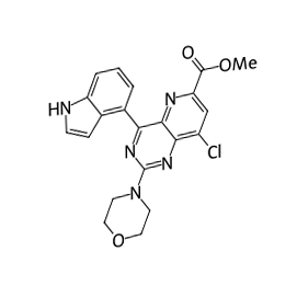 COC(=O)c1cc(Cl)c2nc(N3CCOCC3)nc(-c3cccc4[nH]ccc34)c2n1